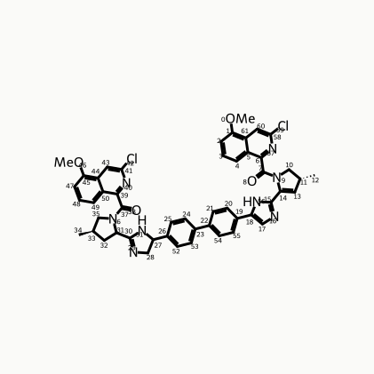 COc1cccc2c(C(=O)N3C[C@H](C)C=C3c3ncc(-c4ccc(-c5ccc(C6CN=C(C7C[C@@H](C)CN7C(=O)c7nc(Cl)cc8c(OC)cccc78)N6)cc5)cc4)[nH]3)nc(Cl)cc12